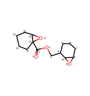 O=C(OCC1CCCC2OC12)C12CCCCC1O2